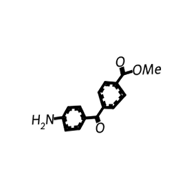 COC(=O)c1ccc(C(=O)c2ccc(N)cc2)cc1